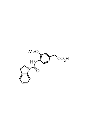 COc1cc(CC(=O)O)ccc1NC(=O)N1CCc2ccccc21